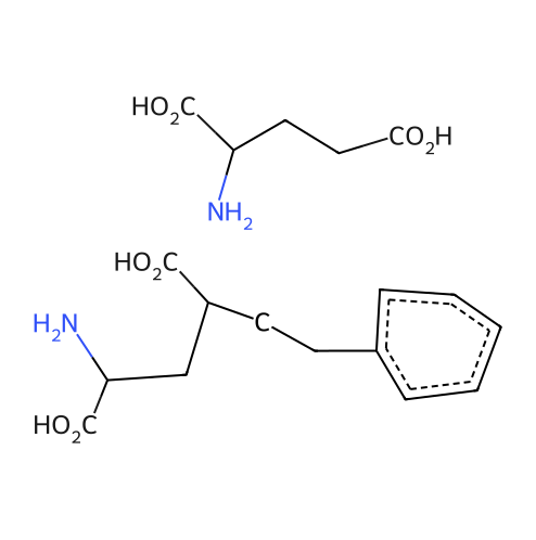 NC(CC(CCc1ccccc1)C(=O)O)C(=O)O.NC(CCC(=O)O)C(=O)O